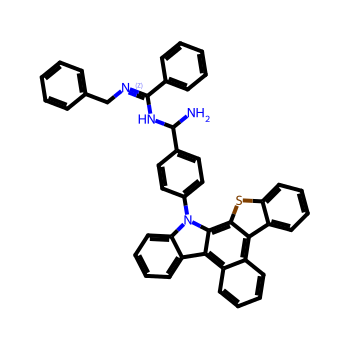 NC(N/C(=N\Cc1ccccc1)c1ccccc1)c1ccc(-n2c3ccccc3c3c4ccccc4c4c5ccccc5sc4c32)cc1